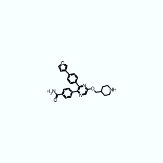 NC(=O)c1ccc(-c2ncc(OCC3CCNCC3)nc2-c2ccc(-c3ccoc3)cc2)cc1